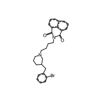 O=C1c2cccc3cccc(c23)C(=O)N1CCCCN1CCCC(Cc2ccccc2Br)C1